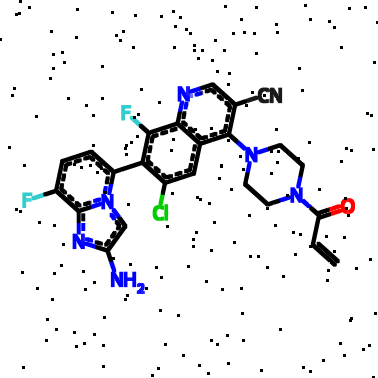 C=CC(=O)N1CCN(c2c(C#N)cnc3c(F)c(-c4ccc(F)c5nc(N)cn45)c(Cl)cc23)CC1